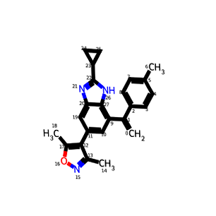 C=C(c1ccc(C)cc1)c1cc(-c2c(C)noc2C)cc2nc(C3CC3)[nH]c12